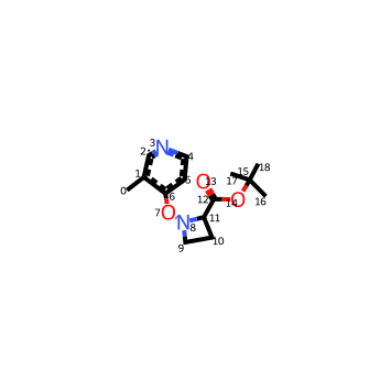 Cc1[c]nccc1ON1CCC1C(=O)OC(C)(C)C